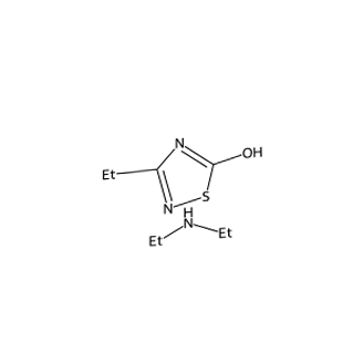 CCNCC.CCc1nsc(O)n1